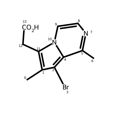 Cc1c(Br)c2c(C)nccn2c1CC(=O)O